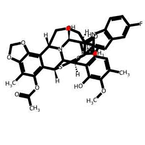 COc1c(C)cc2c(c1O)[C@H]1C3[C@@H]4SC[C@]5(NCCc6c5[nH]c5ccc(F)cc65)C(=O)COC[C@@H](c5c6c(c(C)c(OC(C)=O)c54)OCO6)N3[C@@H](O)[C@@H](C2)N1C